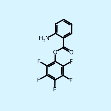 Nc1ccccc1C(=O)Oc1c(F)c(F)c(F)c(F)c1F